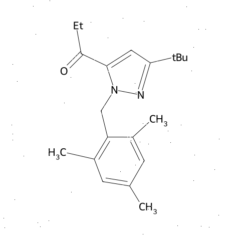 CCC(=O)c1cc(C(C)(C)C)nn1Cc1c(C)cc(C)cc1C